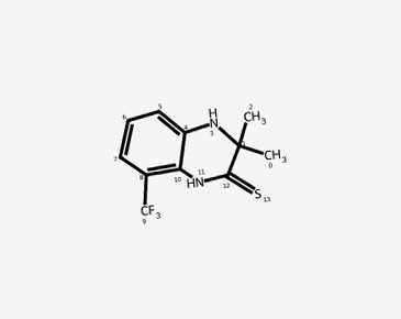 CC1(C)Nc2cccc(C(F)(F)F)c2NC1=S